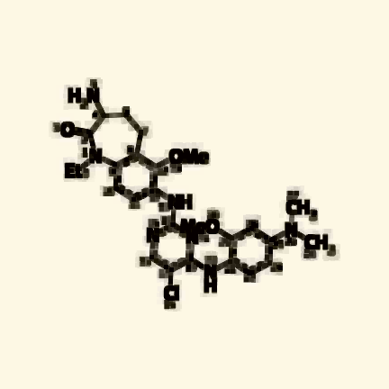 CCN1C(=O)C(N)CCc2c1ccc(Nc1ncc(Cl)c(Nc3ccc(N(C)C)cc3OC)n1)c2OC